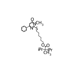 CC(C)C(C)(C(=O)OCCCCCCSc1nc(-c2ccccc2)cc(=O)n1C)C(C)C